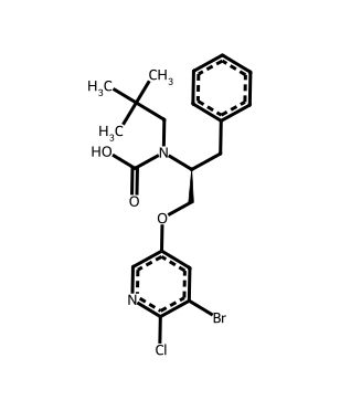 CC(C)(C)CN(C(=O)O)[C@H](COc1cnc(Cl)c(Br)c1)Cc1ccccc1